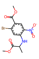 COC(=O)c1cc([N+](=O)[O-])c(NC(C)C(=O)OC)cc1Br